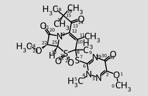 COc1nn(C)c(SC2(C)C(C)=C(C(=O)C(C)(C)C)N3C(=O)[C@H](OC)[C@H]3S2(=O)=O)nc1=O